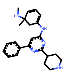 CNC1(C)C=CC=C(Nc2cc(-c3ccccc3)nc(C3CCNCC3)n2)C1